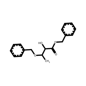 CC(OCc1ccccc1)C(O)C(=O)OCc1ccccc1